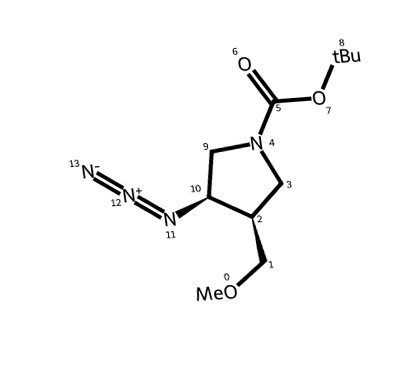 COC[C@@H]1CN(C(=O)OC(C)(C)C)C[C@@H]1N=[N+]=[N-]